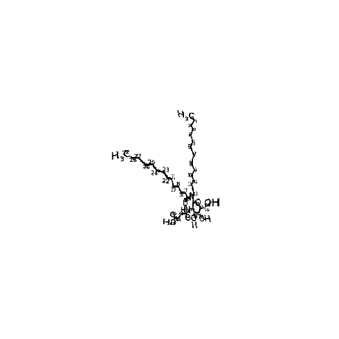 CCCCCCCCCCCCCCN(C(=O)CCCCCCCCCCCCC)[C@@H]1O[C@H](CO)[C@@H](O)[C@H](O)[C@H]1NC(=O)CCC(=O)O